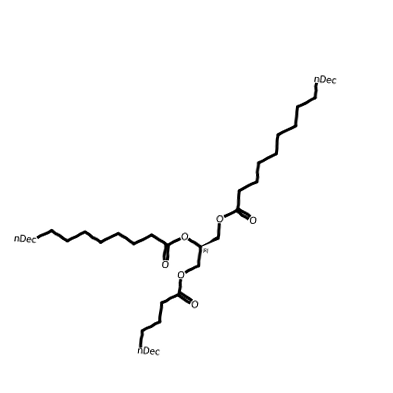 CCCCCCCCCCCCCCCCCCC(=O)OC[C@@H](COC(=O)CCCCCCCCCCCCC)OC(=O)CCCCCCCCCCCCCCCCC